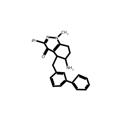 CC(C)c1nn(C)c2c(c1=O)C(Cc1cccc(-c3ccccc3)c1)C(N)CC2